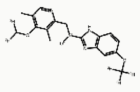 [2H]C([2H])Oc1c(C)cnc(C[S+]([O-])c2nc3cc(OC([2H])([2H])[2H])ccc3[nH]2)c1C